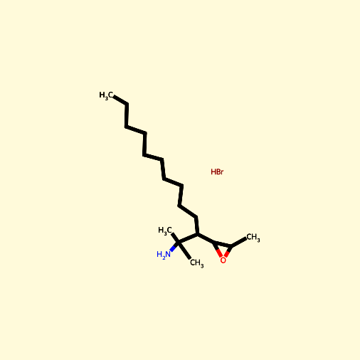 Br.CCCCCCCCCCC(C1OC1C)C(C)(C)N